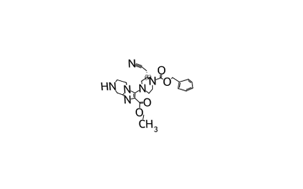 CCOC(=O)c1nc2n(c1N1CCN(C(=O)OCc3ccccc3)[C@@H](CC#N)C1)CCNC2